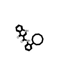 O=C(Nc1ccccc1C1CCCCCCCCC1)c1c[nH]c2ccccc2c1=O